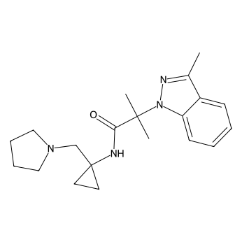 Cc1nn(C(C)(C)C(=O)NC2(CN3CCCC3)CC2)c2ccccc12